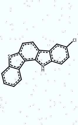 Clc1ccc2[nH]c3c(ccc4sc5ccccc5c43)c2c1